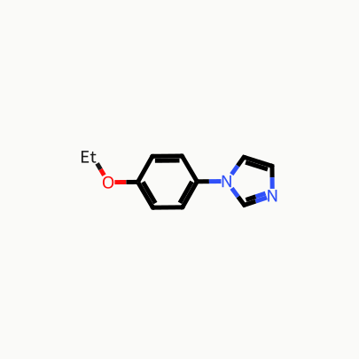 CCOc1ccc(-n2ccnc2)cc1